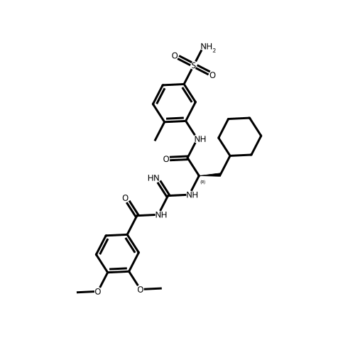 COc1ccc(C(=O)NC(=N)N[C@H](CC2CCCCC2)C(=O)Nc2cc(S(N)(=O)=O)ccc2C)cc1OC